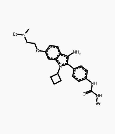 CCN(C)CCOc1ccc2c(N)c(-c3ccc(NC(=O)NC(C)C)cc3)n(C3CCC3)c2c1